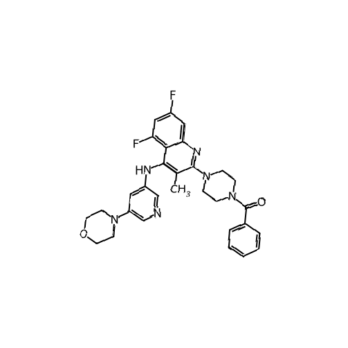 Cc1c(N2CCN(C(=O)c3ccccc3)CC2)nc2cc(F)cc(F)c2c1Nc1cncc(N2CCOCC2)c1